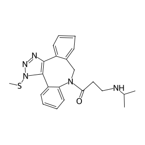 CSn1nnc2c1-c1ccccc1N(C(=O)CCNC(C)C)Cc1ccccc1-2